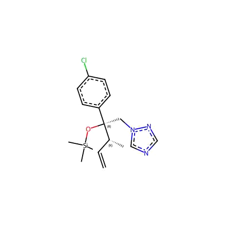 C=C[C@@H](C)[C@@](Cn1cncn1)(O[Si](C)(C)C)c1ccc(Cl)cc1